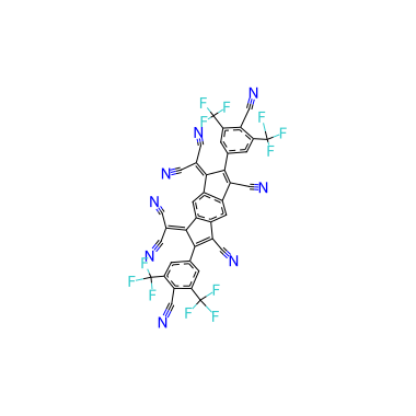 N#CC(C#N)=C1C(c2cc(C(F)(F)F)c(C#N)c(C(F)(F)F)c2)=C(C#N)c2cc3c(cc21)C(=C(C#N)C#N)C(c1cc(C(F)(F)F)c(C#N)c(C(F)(F)F)c1)=C3C#N